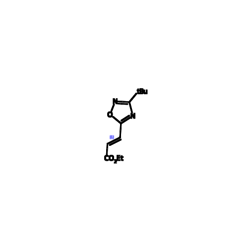 CCOC(=O)/C=C/c1nc(C(C)(C)C)no1